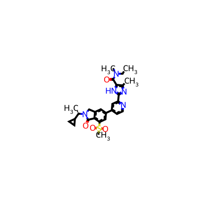 CCN(C)C(=O)c1[nH]c(-c2cc(-c3cc4c(c(S(C)(=O)=O)c3)C(=O)N([C@@H](C)C3CC3)C4)ccn2)nc1C